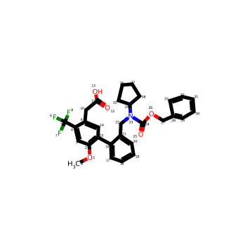 COc1cc(C(F)(F)F)c(CC(=O)O)cc1-c1ccccc1CN(C(=O)OCc1ccccc1)C1CCCC1